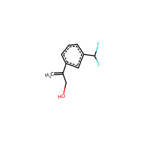 C=C(CO)c1cccc(C(F)F)c1